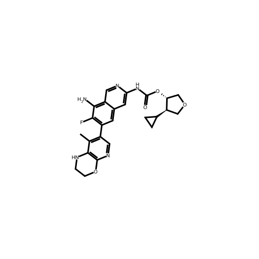 Cc1c(-c2cc3cc(NC(=O)O[C@@H]4COC[C@H]4C4CC4)ncc3c(N)c2F)cnc2c1NCCO2